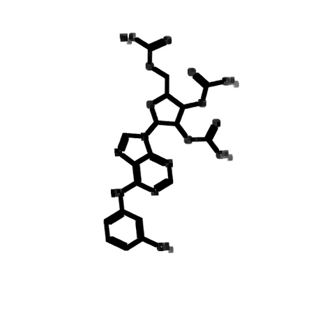 CC(=O)OCC1OC(n2cnc3c(Nc4cccc(C)c4)ncnc32)C(OC(C)=O)C1OC(C)=O